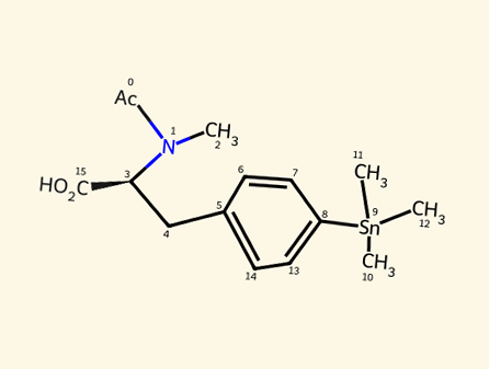 CC(=O)N(C)[C@@H](Cc1cc[c]([Sn]([CH3])([CH3])[CH3])cc1)C(=O)O